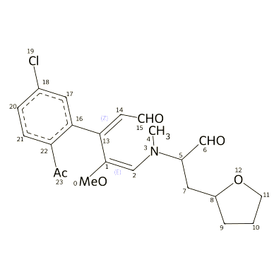 COC(=C/N(C)C(C=O)CC1CCCO1)/C(=C\C=O)c1cc(Cl)ccc1C(C)=O